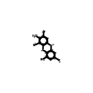 FC(F)(F)c1c(Br)cc2c(c1Br)Sc1c(Br)cc(Br)cc1O2